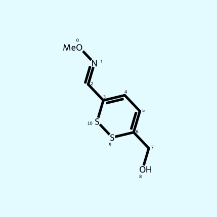 CON=CC1=CC=C(CO)SS1